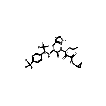 CCC[C@H](NC(=O)[C@H](Cc1nc[nH]n1)N[C@@H](c1ccc(C(F)(F)F)cc1)C(F)(F)F)C(=O)C(=O)NC1CC1